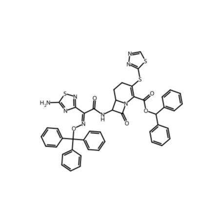 Nc1nc(C(=NOC(c2ccccc2)(c2ccccc2)c2ccccc2)C(=O)NC2C(=O)N3C(C(=O)OC(c4ccccc4)c4ccccc4)=C(Sc4nncs4)CCC23)ns1